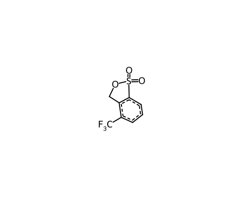 O=S1(=O)OCc2c(C(F)(F)F)cccc21